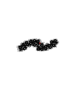 Cc1ccc(C)c(N(c2cc3oc4cc(N(c5cc(C)ccc5C)c5cccc6c5oc5c(C(C)(C)CCC(C)(C)c7cccc8c7oc7c(N(c9ccc(C)c(C)c9)c9cc%10oc%11cc(N(c%12ccc(C)c(C)c%12)c%12cccc%13c%12oc%12c(C(C)(C)C)cccc%12%13)c%12ccccc%12c%11c%10c%10ccccc9%10)cccc78)cccc56)c5ccccc5c4c3c3ccccc23)c2cccc3c2oc2c(C(C)(C)C)cccc23)c1